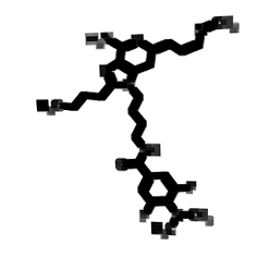 C=N/C=C\C=C1/Cc2c(nc(CCCC)n2CCCCNC(=O)c2cc(F)c(N(C)C)c(F)c2)C(N)=N1